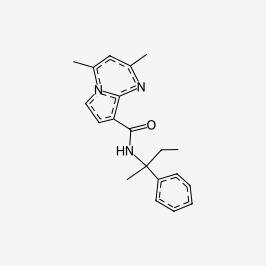 CCC(C)(NC(=O)c1ccn2c(C)cc(C)nc12)c1ccccc1